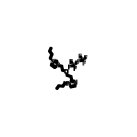 CCCC[n+]1ccn(CCOCCC2=NC=C[NH+]2CCCC)c1.F[B-](F)(F)F.F[B-](F)(F)F